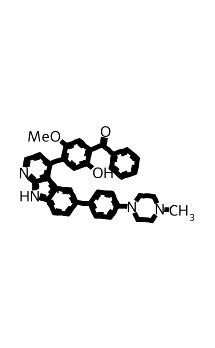 COc1cc(C(=O)c2ccccc2)c(O)cc1-c1ccnc2[nH]c3ccc(-c4ccc(N5CCN(C)CC5)cc4)cc3c12